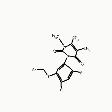 CC(=O)CSc1cc(-n2c(=O)c(C)c(C(F)(F)F)n(C)c2=O)c(F)cc1Cl